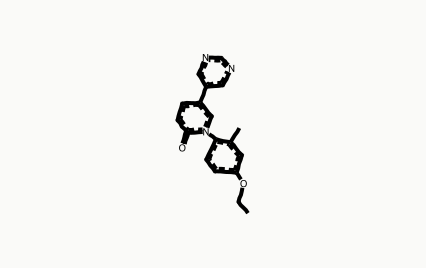 CCOc1ccc(-n2cc(-c3cncnc3)ccc2=O)c(C)c1